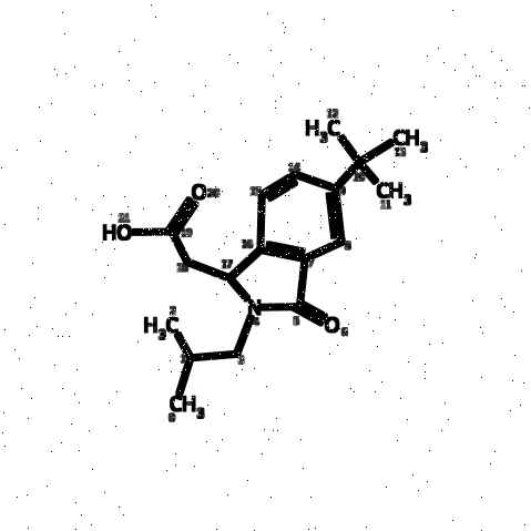 CC(C)CN1C(=O)c2cc(C(C)(C)C)ccc2C1CC(=O)O